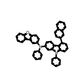 c1ccc(N(c2ccc3oc4ccccc4c3c2)c2ccc3c4c(-c5ccc6ccccc6c5)cccc4n(-c4ccccc4)c3c2)cc1